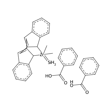 CC1=Cc2ccccc2[CH]1[Zr]([CH3])([CH3])(=[SiH2])[CH]1C(C)=Cc2ccccc21.O=C(O)c1ccccc1.O=C(O)c1ccccc1